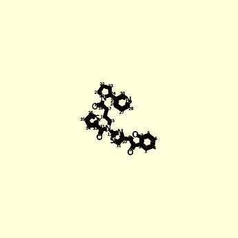 O=C1c2ccccc2OC1c1csc(N(CCCC(=O)N2CCCC2c2cccnc2)C(=O)c2cccs2)n1